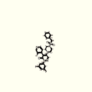 O=c1c(-c2ccncc2F)c(N2CCN(S(=O)(=O)Cc3ccccc3)CC2)cnn1-c1cc(F)cc(F)c1